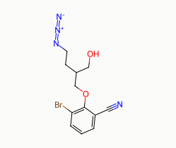 N#Cc1cccc(Br)c1OCC(CO)CCN=[N+]=[N-]